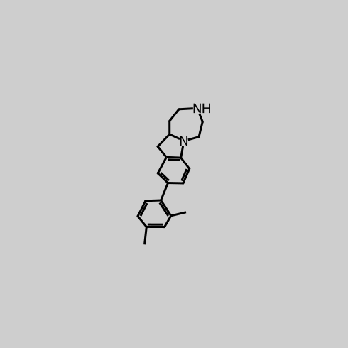 Cc1ccc(-c2ccc3c(c2)CC2CCNCCN32)c(C)c1